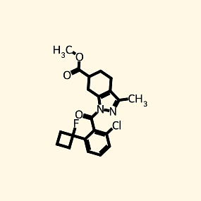 COC(=O)C1CCc2c(C)nn(C(=O)c3c(Cl)cccc3C3(F)CCC3)c2C1